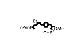 CCCCCC(C)CCC(CC)CCC1CCC(CC(COC)COC=O)CC1